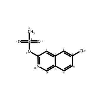 CS(=O)(=O)Oc1cc2cc(Cl)ccc2cn1